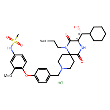 COCCN1C(=O)[C@@H]([C@H](O)C2CCCCC2)NC(=O)C12CCN(Cc1ccc(Oc3ccc(NS(C)(=O)=O)cc3OC)cc1)CC2.Cl